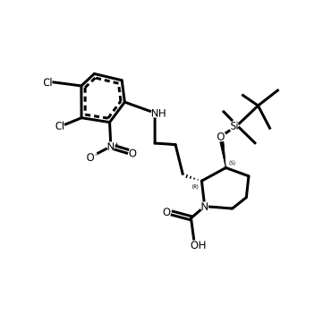 CC(C)(C)[Si](C)(C)O[C@H]1CCCN(C(=O)O)[C@@H]1CCCNc1ccc(Cl)c(Cl)c1[N+](=O)[O-]